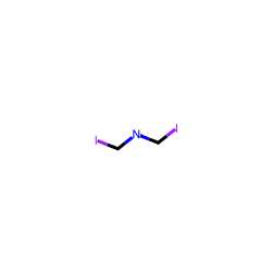 IC[N]CI